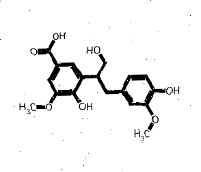 COc1cc(CC(CO)c2cc(C(=O)O)cc(OC)c2O)ccc1O